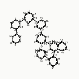 c1ccc(-c2cccc(-c3cccc(-c4cccc(-c5cccc(-c6cc(-c7ccccc7-c7ccncc7)c7ccccc7n6)c5)c4)c3)c2)cc1